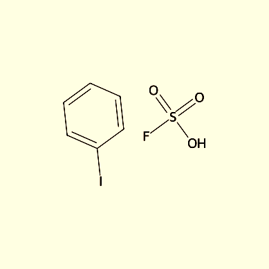 Ic1ccccc1.O=S(=O)(O)F